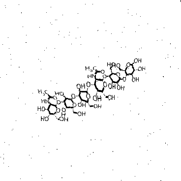 CC(=O)N[C@H]1[C@H](O[C@H]2[C@@H](O)[C@@H](CO)O[C@H](O[C@H]3[C@@H](O)[C@@H](CO)O[C@@H](O[C@H]4[C@@H](O)[C@@H](CO)O[C@@H](O[C@@H]5[C@H](O)[C@@H](O)[C@H](O[C@H]6[C@H](O)[C@@H](O)[C@H](O)O[C@@H]6CO)O[C@@H]5CO)[C@@H]4NC(C)=O)[C@@H]3O)[C@@H]2O)O[C@H](CO)[C@H](O)[C@@H]1O